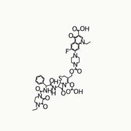 CCN1CCN(C(=O)NC(C(=O)N[C@@H]2C(=O)N3C(OC(=O)O)=C(COC(=O)N4CCN(c5cc6c(cc5F)c(=O)c(C(=O)O)cn6CC)CC4)CS[C@H]23)c2ccccc2)C(=O)C1=O